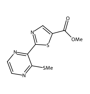 COC(=O)c1cnc(-c2nccnc2SC)s1